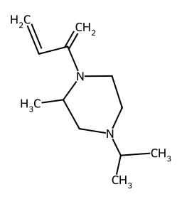 C=CC(=C)N1CCN(C(C)C)CC1C